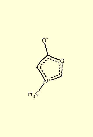 C[n+]1coc([O-])c1